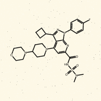 CN(C)S(=O)(=O)NC(=O)c1cc(N2CCC(N3CCOCC3)CC2)c2c(C3CCC3)nn(-c3ccc(F)cc3)c2n1